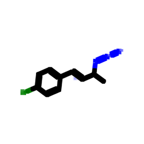 CC(/C=C/c1ccc(Br)cc1)N=[N+]=[N-]